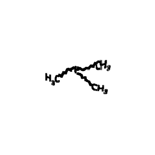 CCCCCCCCP(CCCCCCCC)CCCCCCCC